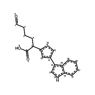 O=CCCCC(C(=O)O)c1cc(-c2c[nH]c3ccccc23)cs1